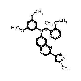 COc1cc(OC)cc(N(c2ccc3ncc(-c4cnn(C)c4)nc3c2)[C@H](C)c2ncccc2OC)c1